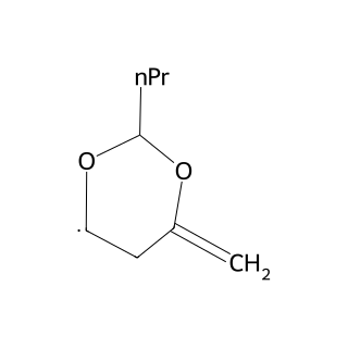 C=C1C[CH]OC(CCC)O1